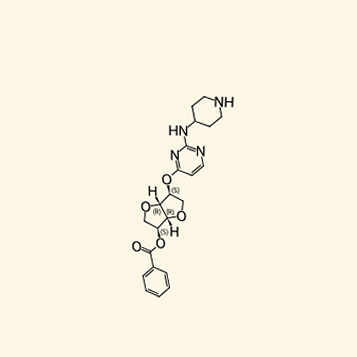 O=C(O[C@H]1CO[C@H]2[C@@H]1OC[C@@H]2Oc1ccnc(NC2CCNCC2)n1)c1ccccc1